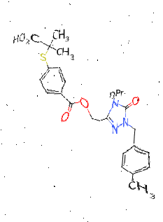 CCCn1c(COC(=O)c2ccc(SC(C)(C)C(=O)O)cc2)nn(Cc2ccc(C)cc2)c1=O